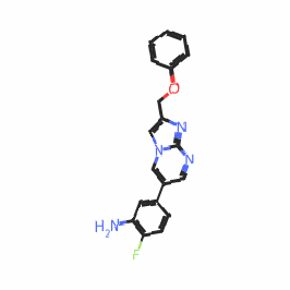 Nc1cc(-c2cnc3nc(COc4ccccc4)cn3c2)ccc1F